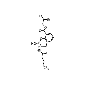 CCC(CC)COC(=O)c1cccc2c1OB(O)[C@@H](NC(=O)CCCC(F)(F)F)C2